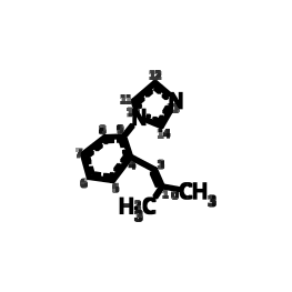 CC(C)=Cc1ccccc1-n1ccnc1